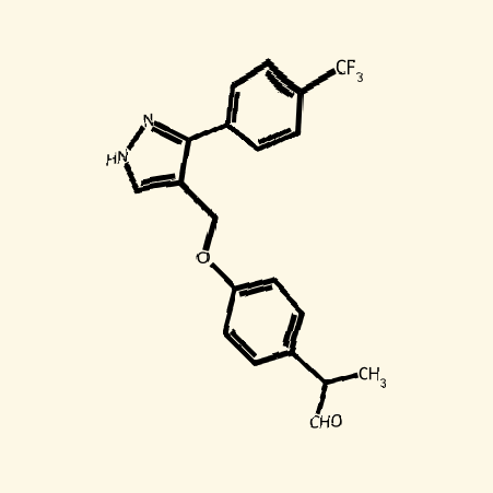 CC(C=O)c1ccc(OCc2c[nH]nc2-c2ccc(C(F)(F)F)cc2)cc1